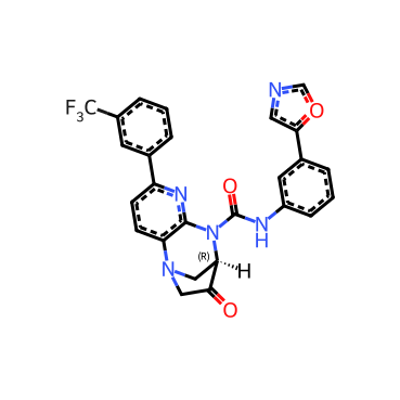 O=C1CN2C[C@H]1N(C(=O)Nc1cccc(-c3cnco3)c1)c1nc(-c3cccc(C(F)(F)F)c3)ccc12